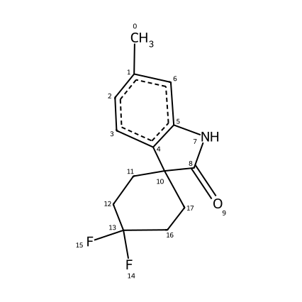 Cc1ccc2c(c1)NC(=O)C21CCC(F)(F)CC1